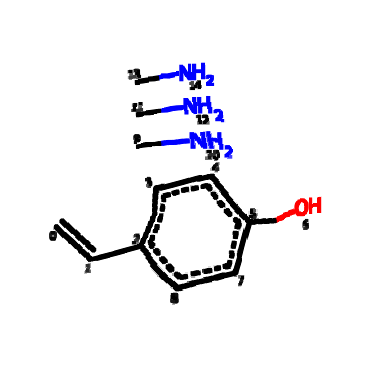 C=Cc1ccc(O)cc1.CN.CN.CN